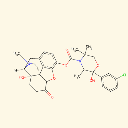 CC1N(C(=O)Oc2ccc3c4c2OC2C(=O)CC[C@@]5(O)[C@@H](C3)N(C)CC[C@]425)C(C)(C)COC1(O)c1cccc(Cl)c1